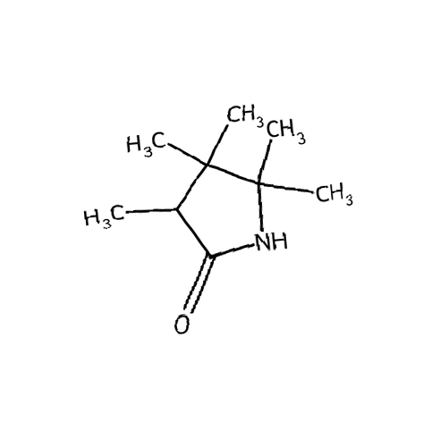 CC1C(=O)NC(C)(C)C1(C)C